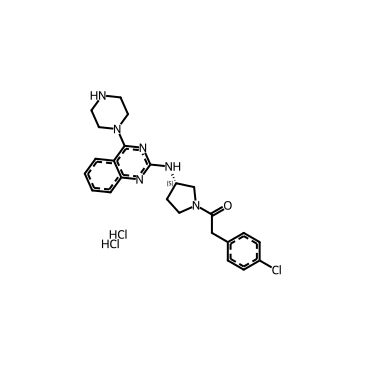 Cl.Cl.O=C(Cc1ccc(Cl)cc1)N1CC[C@H](Nc2nc(N3CCNCC3)c3ccccc3n2)C1